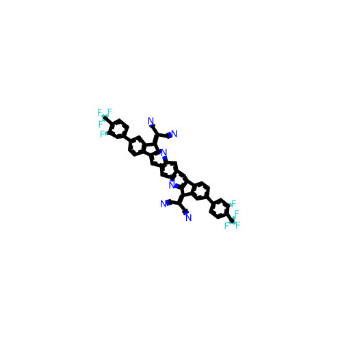 N#CC(C#N)=C1c2cc(-c3ccc(C(F)(F)F)c(F)c3)ccc2-c2cc3cc4nc5c(cc4cc3nc21)-c1ccc(-c2ccc(C(F)(F)F)c(F)c2)cc1C5=C(C#N)C#N